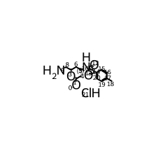 COC(=O)C[C@H](CCCN)NS(=O)(=O)c1ccc(C)cc1.Cl